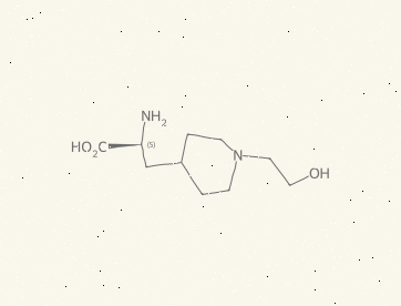 N[C@@H](CC1CCN(CCO)CC1)C(=O)O